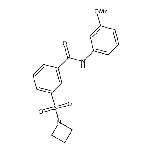 COc1cccc(NC(=O)c2cccc(S(=O)(=O)N3CCC3)c2)c1